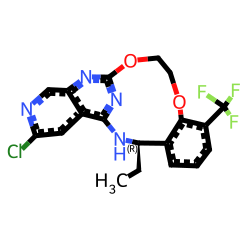 CC[C@H]1Nc2nc(nc3cnc(Cl)cc23)OCCOc2c1cccc2C(F)(F)F